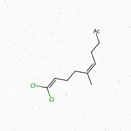 CC(=O)CCC=C(C)CCC=C(Cl)Cl